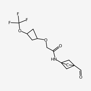 O=CC12CC(NC(=O)COC3CC(OC(F)(F)F)C3)(C1)C2